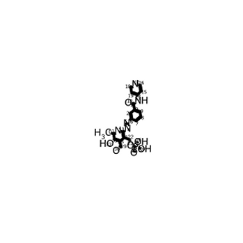 Cc1nc(N=Nc2cccc(C(=O)Nc3ccncc3)c2)c(COP(=O)(O)O)c(C=O)c1O